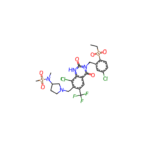 CCS(=O)(=O)c1ccc(Cl)cc1Cn1c(=O)[nH]c2c(Cl)c(CN3CCC(N(C)S(C)(=O)=O)C3)c(C(F)(F)F)cc2c1=O